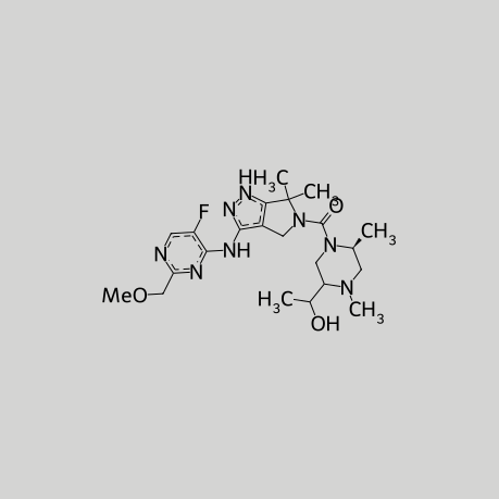 COCc1ncc(F)c(Nc2n[nH]c3c2CN(C(=O)N2CC(C(C)O)N(C)C[C@@H]2C)C3(C)C)n1